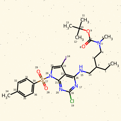 CCC(CCN(C)C(=O)OC(C)(C)C)CNc1nc(Cl)nc2c1c(I)cn2S(=O)(=O)c1ccc(C)cc1